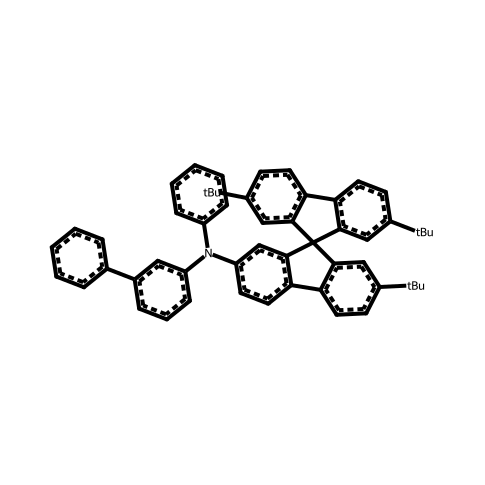 CC(C)(C)c1ccc2c(c1)C1(c3cc(N(c4ccccc4)c4cccc(-c5ccccc5)c4)ccc3-2)c2cc(C(C)(C)C)ccc2-c2ccc(C(C)(C)C)cc21